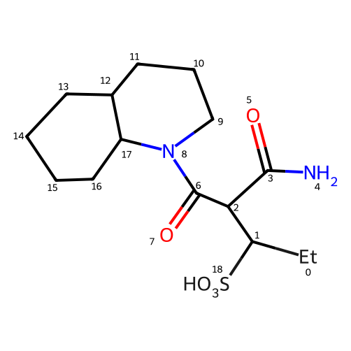 CCC(C(C(N)=O)C(=O)N1CCCC2CCCCC21)S(=O)(=O)O